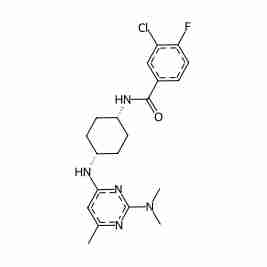 Cc1cc(N[C@H]2CC[C@@H](NC(=O)c3ccc(F)c(Cl)c3)CC2)nc(N(C)C)n1